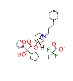 O=C(O[C@H]1C[N+]2(CCCc3ccccc3)CCC1CC2)[C@@](O)(c1ccco1)C1CCCC1.O=C([O-])C(F)(F)F